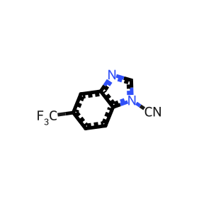 N#Cn1cnc2cc(C(F)(F)F)ccc21